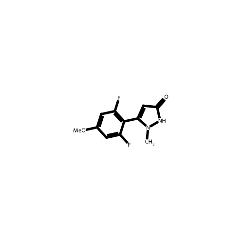 COc1cc(F)c(-c2cc(=O)[nH]n2C)c(F)c1